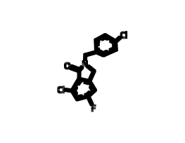 O=C1c2c(Cl)cc(F)cc2CN1Cc1ccc(Cl)cc1